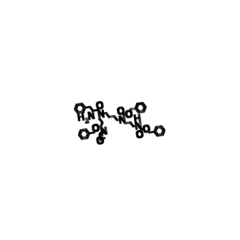 NC(Cc1ccccc1)C(=O)N(CCCCN(CCCNC(=O)OCc1ccccc1)C(=O)OCc1ccccc1)CCC(N=C=O)OCc1ccccc1